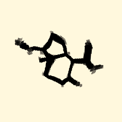 COC(=O)C1C(=O)CCC2(C)C(OC(C)(C)C)CCC12